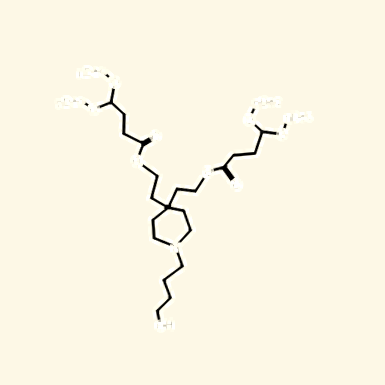 CCCCCCCCCCOC(CCC(=O)OCCC1(CCOC(=O)CCC(OCCCCCCCCCC)OCCCCCCCCCC)CCN(CCCCO)CC1)OCCCCCCCCCC